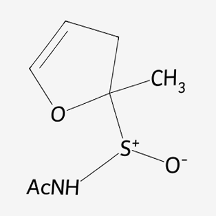 CC(=O)N[S+]([O-])C1(C)CC=CO1